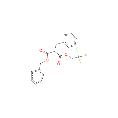 O=C(OCc1ccccc1)C(Cc1ccccc1)C(=O)OCC(F)(F)F